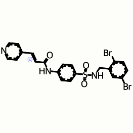 O=C(/C=C/c1ccncc1)Nc1ccc(S(=O)(=O)NCc2cc(Br)ccc2Br)cc1